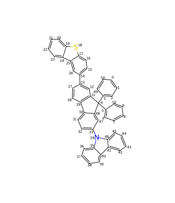 c1ccc(C2(c3ccccc3)c3cc(-c4ccc5sc6ccccc6c5c4)ccc3-c3ccc(-n4c5ccccc5c5ccccc54)cc32)cc1